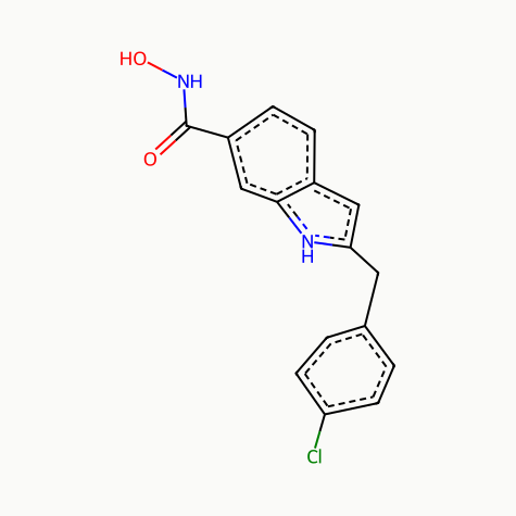 O=C(NO)c1ccc2cc(Cc3ccc(Cl)cc3)[nH]c2c1